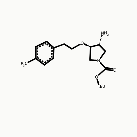 CC(C)(C)OC(=O)N1C[C@@H](N)[C@H](OCCc2ccc(C(F)(F)F)cc2)C1